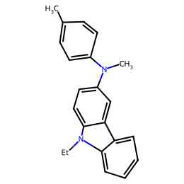 CCn1c2ccccc2c2cc(N(C)c3ccc(C)cc3)ccc21